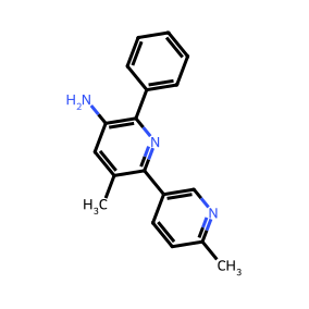 Cc1ccc(-c2nc(-c3ccccc3)c(N)cc2C)cn1